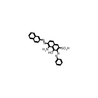 Nc1c(N=Nc2ccc3ccccc3c2)ccc2cc(S(=O)(=O)O)c(N=Nc3ccccc3)c(O)c12